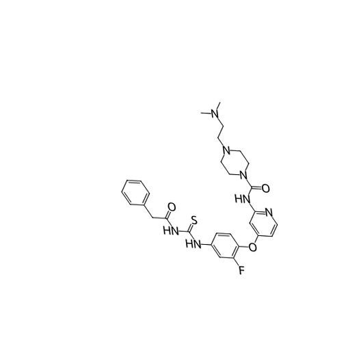 CN(C)CCN1CCN(C(=O)Nc2cc(Oc3ccc(NC(=S)NC(=O)Cc4ccccc4)cc3F)ccn2)CC1